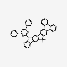 CC1(C)c2cc3c4ccccc4c4ccccc4c3cc2-c2cc3c(cc21)c1cccnc1n3-c1nc(-c2ccccc2)cc(-c2ccccc2)n1